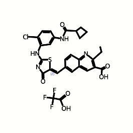 CCc1nc2ccc(/C=C3\SC(Nc4cc(NC(=O)C5CCC5)ccc4Cl)=NC3=O)cc2cc1C(=O)O.O=C(O)C(F)(F)F